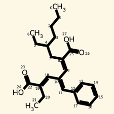 CCCCC(CC)CC(=CC(=Cc1ccccc1)C=C(CC)C(=O)O)C(=O)O